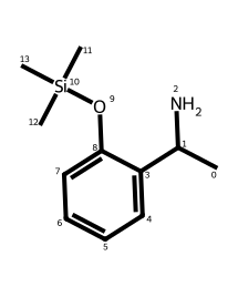 CC(N)c1ccccc1O[Si](C)(C)C